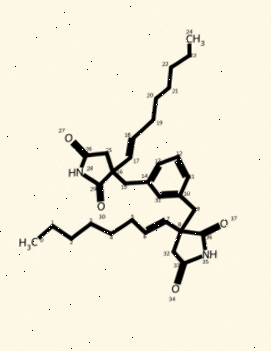 CCCCCCC=CC1(Cc2cccc(CC3(C=CCCCCCC)CC(=O)NC3=O)c2)CC(=O)NC1=O